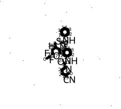 CC(F)(F)[C@H]1C[C@H]2CSC(Nc3ccccc3)=N[C@@]2(c2cc(NC(=O)c3ccc(C#N)cn3)ccc2F)CO1